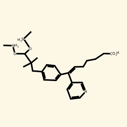 C[SiH2]OC(O[SiH2]C)C(C)(C)Cc1ccc(/C(=C/CCCCC(=O)O)c2cccnc2)cc1